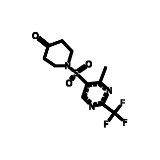 Cc1nc(C(F)(F)F)ncc1S(=O)(=O)N1CCC(=O)CC1